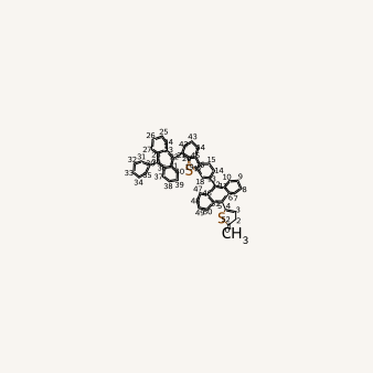 CC1CC=C(c2c3ccccc3c(-c3ccc4c(c3)sc3c(-c5c6ccccc6c(-c6ccccc6)c6ccccc56)cccc34)c3ccccc23)S1